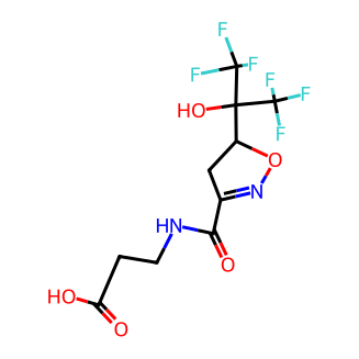 O=C(O)CCNC(=O)C1=NOC(C(O)(C(F)(F)F)C(F)(F)F)C1